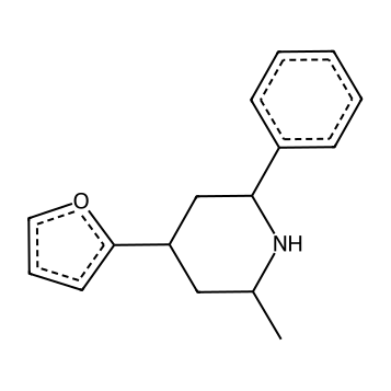 CC1CC(c2ccco2)CC(c2ccccc2)N1